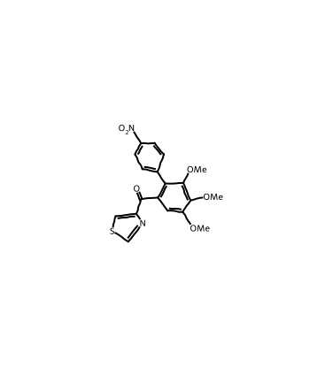 COc1cc(C(=O)c2cscn2)c(-c2ccc([N+](=O)[O-])cc2)c(OC)c1OC